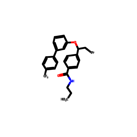 CC(C)CC(Oc1cccc(-c2ccc(C(F)(F)F)cc2)c1)c1ccc(C(=O)NCCC(=O)O)cc1